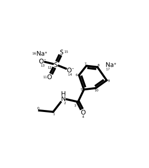 CCNC(=O)c1ccccc1.O=S([O-])([O-])=S.[Na+].[Na+]